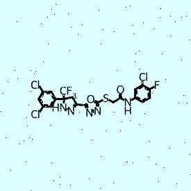 O=C(CSc1nnc(C2=NNC(c3cc(Cl)cc(Cl)c3)(C(F)(F)F)C2)o1)Nc1ccc(F)c(Cl)c1